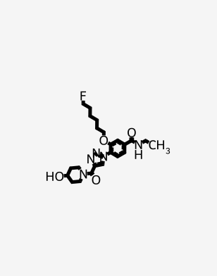 CCNC(=O)c1ccc(-n2cc(C(=O)N3CCC(O)CC3)nn2)c(OCCCCCCF)c1